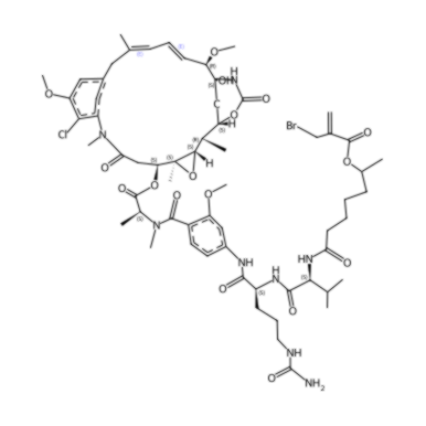 C=C(CBr)C(=O)OC(C)CCCCC(=O)N[C@H](C(=O)N[C@@H](CCCNC(N)=O)C(=O)Nc1ccc(C(=O)N(C)[C@@H](C)C(=O)O[C@H]2CC(=O)N(C)c3cc(cc(OC)c3Cl)C/C(C)=C/C=C/[C@@H](OC)[C@@]3(O)C[C@H](OC(=O)N3)[C@@H](C)[C@@H]3O[C@@]23C)c(OC)c1)C(C)C